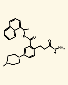 CC(NC(=O)c1cc(N2CCN(C)CC2)ccc1CCC(=O)NN)c1cccc2ccccc12